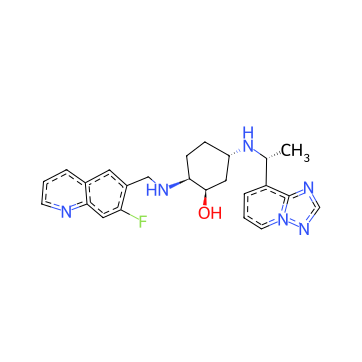 C[C@@H](N[C@H]1CC[C@H](NCc2cc3cccnc3cc2F)[C@H](O)C1)c1cccn2ncnc12